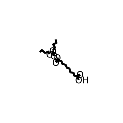 CCCCOC(C)(OCCCC)OOC(=O)CCCCCCCCC(=O)O